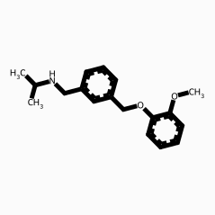 COc1ccccc1OCc1cccc(CNC(C)C)c1